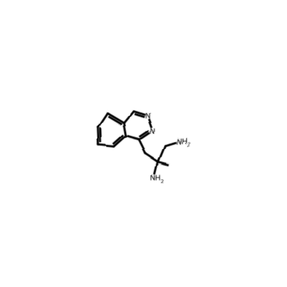 CC(N)(CN)Cc1nncc2ccccc12